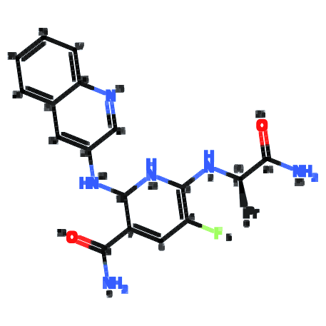 CC(C)[C@@H](NC1=C(F)C=C(C(N)=O)C(Nc2cnc3ccccc3c2)N1)C(N)=O